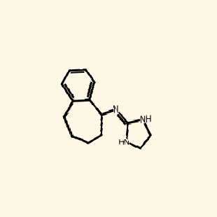 c1ccc2c(c1)CCCCC2N=C1NCCN1